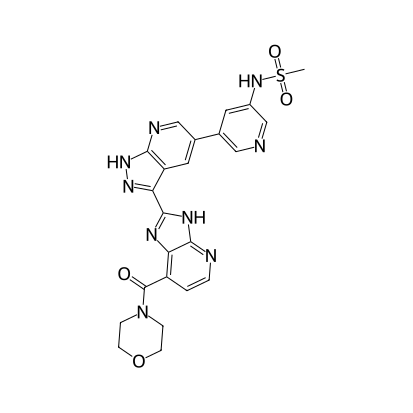 CS(=O)(=O)Nc1cncc(-c2cnc3[nH]nc(-c4nc5c(C(=O)N6CCOCC6)ccnc5[nH]4)c3c2)c1